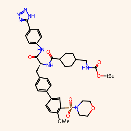 COc1ccc(-c2ccc(C[C@H](NC(=O)C3CCC(CNC(=O)OC(C)(C)C)CC3)C(=O)Nc3ccc(-c4nnn[nH]4)cc3)cc2)cc1S(=O)(=O)N1CCOCC1